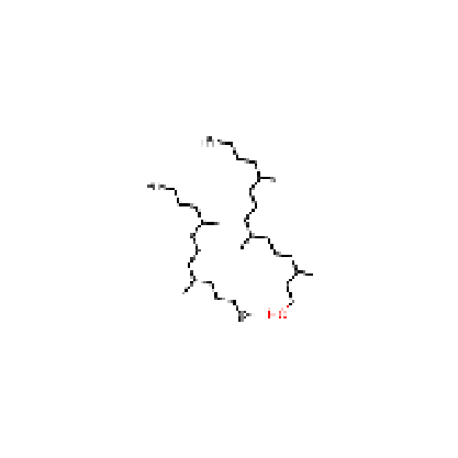 CC(C)CCCC(C)CCCC(C)CCCC(C)CCO.CCC(C)CCCC(C)CCCC(C)CCCC(C)C